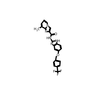 Cc1cccn2cc(C(=O)Nc3nc4cc(OCc5ccc(C(F)(F)F)cc5)ccc4[nH]3)nc12